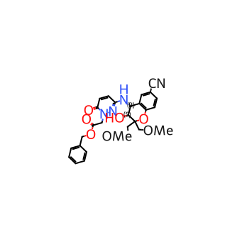 COCC1(COC)Oc2ccc(C#N)cc2[C@@H](Nc2ccc(=O)n(CC(=O)OCc3ccccc3)n2)[C@@H]1O